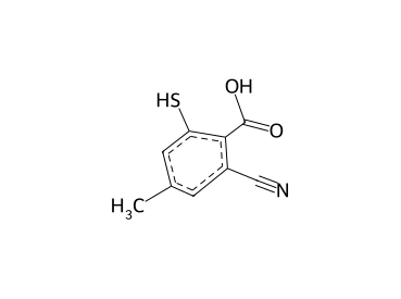 Cc1cc(S)c(C(=O)O)c(C#N)c1